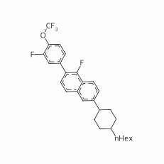 CCCCCCC1CCC(c2ccc3c(F)c(-c4ccc(OC(F)(F)F)c(F)c4)ccc3c2)CC1